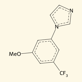 COc1cc(-n2ccnc2)cc(C(F)(F)F)c1